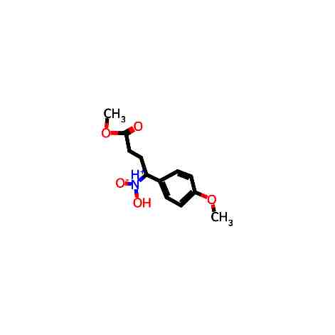 COC(=O)CCC(c1ccc(OC)cc1)[NH+]([O-])O